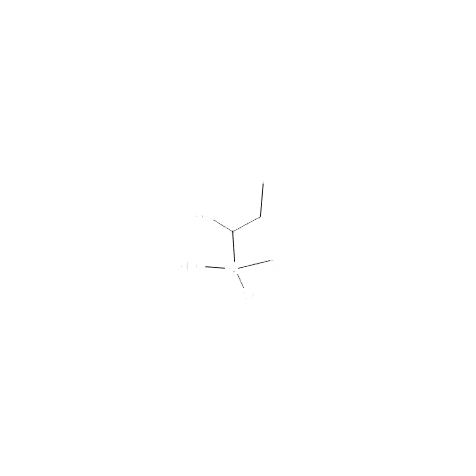 C[Si](C)(C)C(S)CCl